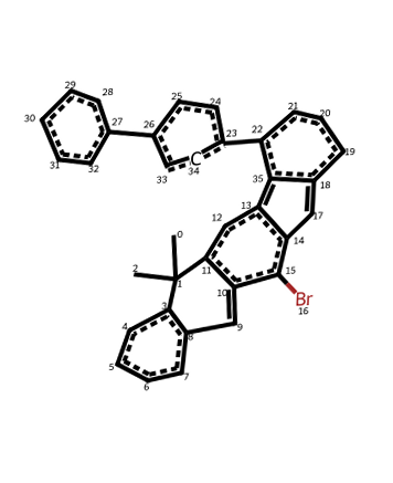 CC1(C)c2ccccc2C=c2c1cc1c(c2Br)C=c2cccc(-c3ccc(-c4ccccc4)cc3)c2=1